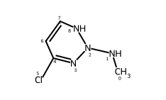 CNN1N=C(Cl)C=[C]N1